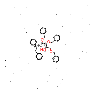 O=C[C@@H](OCc1ccccc1)[C@H](OCc1ccccc1)[C@H](O)COCc1ccccc1.c1ccc(CCc2ccccc2)cc1